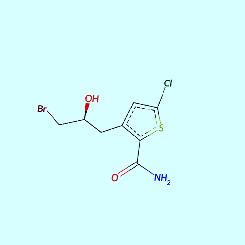 NC(=O)c1sc(Cl)cc1C[C@H](O)CBr